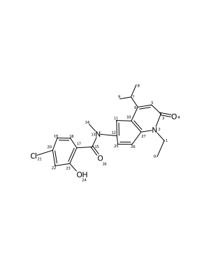 CCn1c(=O)cc(C(C)C)c2cc(N(C)C(=O)c3ccc(Cl)cc3O)ccc21